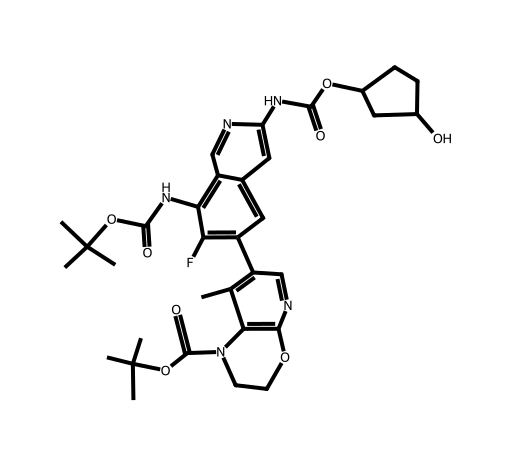 Cc1c(-c2cc3cc(NC(=O)OC4CCC(O)C4)ncc3c(NC(=O)OC(C)(C)C)c2F)cnc2c1N(C(=O)OC(C)(C)C)CCO2